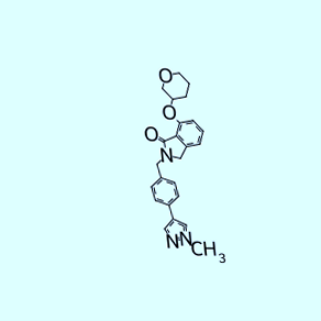 Cn1cc(-c2ccc(CN3Cc4cccc(OC5CCCOC5)c4C3=O)cc2)cn1